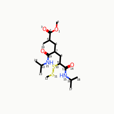 COC(=O)C(C)CC(CC(SSC)C(=O)NC(C)C)C(=O)NC(C)C